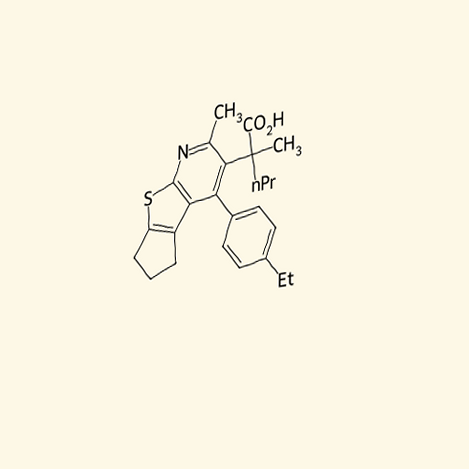 CCCC(C)(C(=O)O)c1c(C)nc2sc3c(c2c1-c1ccc(CC)cc1)CCC3